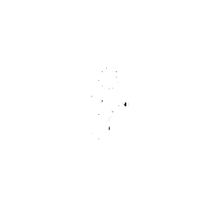 CC1(C)CCCC(Cc2ccccc2)(OC(N)=O)C1